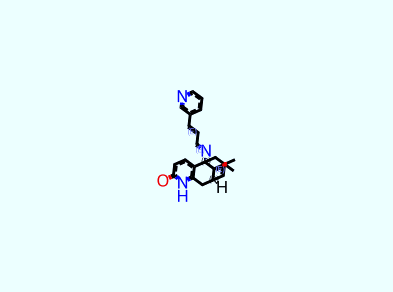 C/C=C1\[C@H]2C=C(C)C[C@]1(/N=C/C=C/c1cccnc1)c1ccc(=O)[nH]c1C2